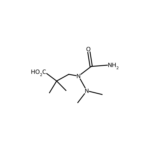 CN(C)N(CC(C)(C)C(=O)O)C(N)=O